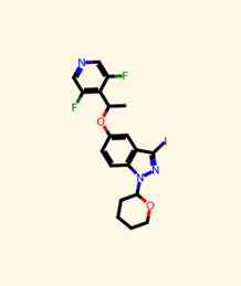 CC(Oc1ccc2c(c1)c(I)nn2C1CCCCO1)c1c(F)cncc1F